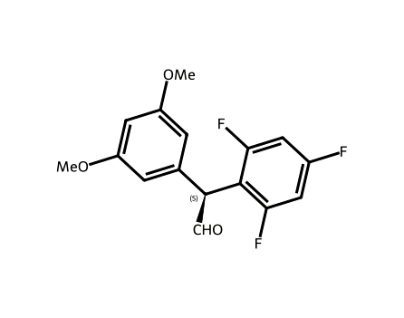 COc1cc(OC)cc([C@H](C=O)c2c(F)cc(F)cc2F)c1